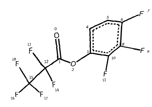 O=C(Oc1ccc(F)c(F)c1F)C(F)(F)C(F)(F)F